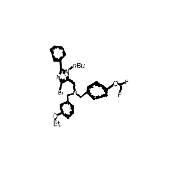 CCCCn1c(-c2ccccc2)nc(Br)c1CN(Cc1ccc(OC(F)F)cc1)Cc1cccc(OCC)c1